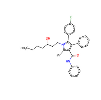 CC(C)c1c(C(=O)Nc2ccccc2)c(-c2ccccc2)c(-c2ccc(F)cc2)n1CC[C@@H](O)CCCC(=O)O